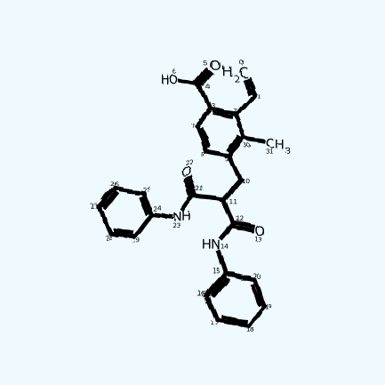 C=Cc1c(C(=O)O)ccc(CC(C(=O)Nc2ccccc2)C(=O)Nc2ccccc2)c1C